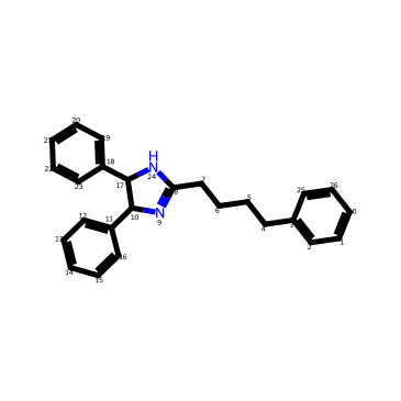 c1ccc(CCCCC2=NC(c3ccccc3)C(c3ccccc3)N2)cc1